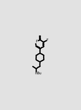 C=C(F)/C(F)=C\C(=C/C)C1CCC(CC(C)CCCC)CC1